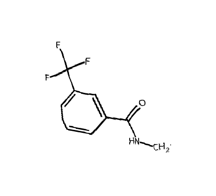 [CH2]NC(=O)c1cccc(C(F)(F)F)c1